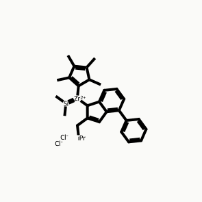 CC1=C(C)C(C)[C]([Zr+2]([CH]2C(CC(C)C)=Cc3c(-c4ccccc4)cccc32)=[Si](C)C)=C1C.[Cl-].[Cl-]